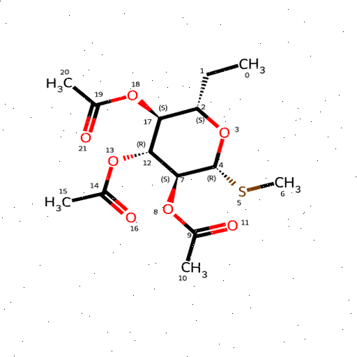 CC[C@@H]1O[C@H](SC)[C@@H](OC(C)=O)[C@H](OC(C)=O)[C@H]1OC(C)=O